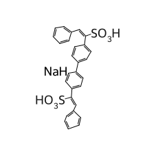 O=S(=O)(O)C(=Cc1ccccc1)c1ccc(-c2ccc(C(=Cc3ccccc3)S(=O)(=O)O)cc2)cc1.[NaH]